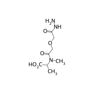 CC(C(=O)O)N(C)C(=O)COCC(=O)NN